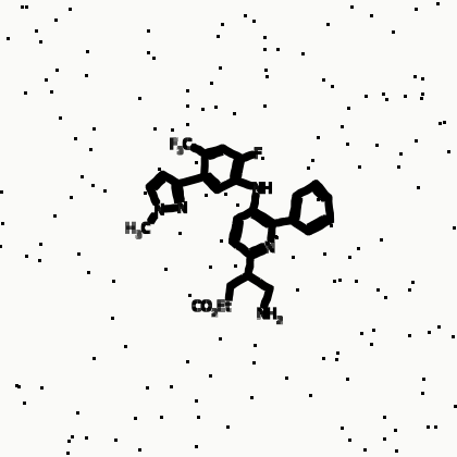 CCOC(=O)CC(CN)c1ccc(Nc2cc(-c3ccn(C)n3)c(C(F)(F)F)cc2F)c(-c2ccccc2)n1